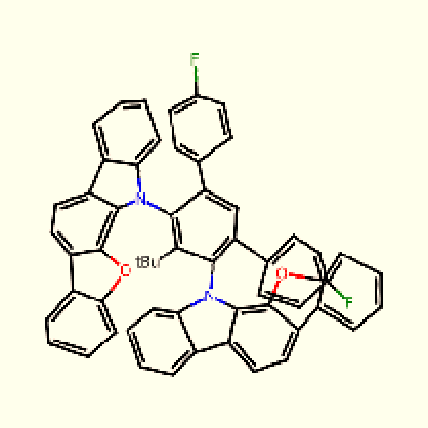 CC(C)(C)c1c(-n2c3ccccc3c3ccc4c5ccccc5oc4c32)c(-c2ccc(F)cc2)cc(-c2ccc(F)cc2)c1-n1c2ccccc2c2ccc3c4ccccc4oc3c21